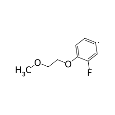 COCCOc1cc[c]cc1F